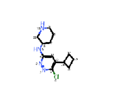 Clc1nnc(N[C@@H]2CCCNC2)cc1C1CCC1